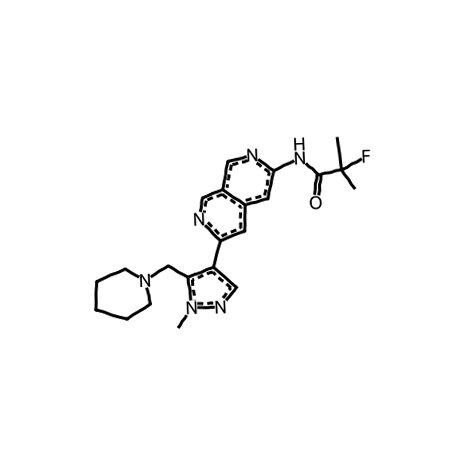 Cn1ncc(-c2cc3cc(NC(=O)C(C)(C)F)ncc3cn2)c1CN1CCCCC1